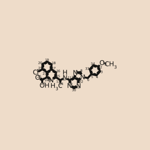 COc1ccc(Cn2cnc3c(NC(C)c4cc5cccc(Cl)c5c(C(=O)O)n4)ncnc32)cc1